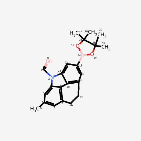 B=Cn1c2cc(C)cc3c2c2c(cc(B4OC(C)(C)C(C)(C)O4)cc21)CC3